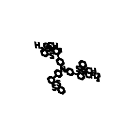 C[Si]1(C)c2ccccc2Sc2c(-c3ccc(N(c4ccc(-c5cccc6c5Sc5ccccc5S6)cc4)c4ccc(-c5cccc6c5Sc5ccccc5[Si]6(C)C)cc4)cc3)cccc21